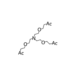 CC(=O)CCOCCN(CCOCCC(C)=O)CCOCCC(C)=O